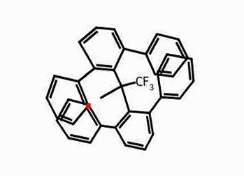 CC(c1c(-c2ccccc2)cccc1-c1ccccc1)(c1c(-c2ccccc2)cccc1-c1ccccc1)C(F)(F)F